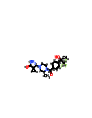 C[C@@H]1CN(CC2(C(N)=O)CC2)CCN1C(=O)c1ccc([C@](C)(O)C(F)(F)F)cc1